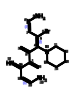 C=C(C(=C)/C(=C(Br)\C=N/N)N1CCCCC1)C(=N)/C=C\N